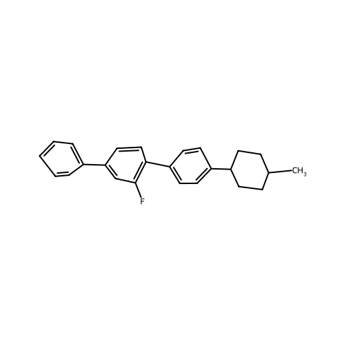 CC1CCC(c2ccc(-c3ccc(-c4ccccc4)cc3F)cc2)CC1